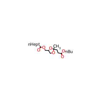 CCCCCCCC(=O)OCC1COC(C)(CCC(=O)OCCCC)O1